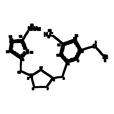 CCOc1cc(CC2CCN(Cc3cnc(NC(C)=O)s3)C2)cc(C)n1